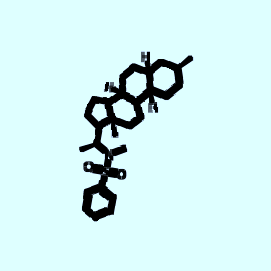 C[C@H]1CC[C@@H]2C3CC[C@@]4(C)C(CCC4[C@H](C)N(C)S(=O)(=O)c4ccccc4)[C@@H]3CC[C@@H]2C1